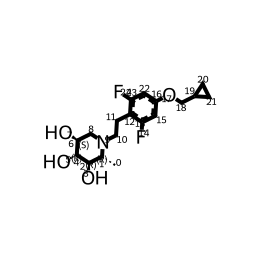 C[C@@H]1[C@@H](O)[C@H](O)[C@@H](O)CN1CCc1c(F)cc(OCC2CC2)cc1F